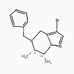 C[C@@H]1[C@H](C)N(Cc2ccccc2)Cc2c(Br)cnn21